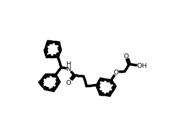 O=C(O)COc1cccc(CCC(=O)NC(c2ccccc2)c2ccccc2)c1